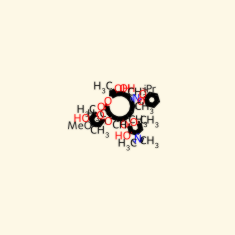 CO[C@]1(C)C[C@H](OC2C(C)C(=O)OC3C(C)[C@]3(O)[C@H](O)[C@@H](C)/C(=N/OC3(OC(C)C)CCCCC3)[C@H](C)CC(C)[C@H](OC3OC(C)CC(N(C)C)[C@H]3O)C2C)OC(C)[C@@H]1O